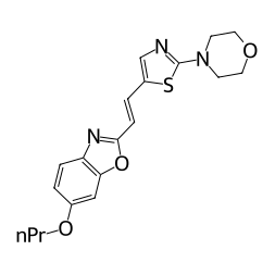 CCCOc1ccc2nc(/C=C/c3cnc(N4CCOCC4)s3)oc2c1